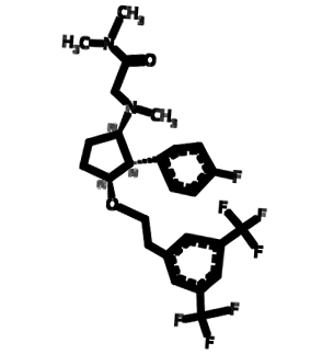 CN(C)C(=O)CN(C)[C@@H]1CC[C@H](OCCc2cc(C(F)(F)F)cc(C(F)(F)F)c2)[C@H]1c1ccc(F)cc1